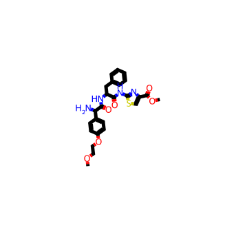 COCCOc1ccc(C(N)C(=O)NC(Cc2ccccc2)C(=O)Nc2nc(C(=O)OC)cs2)cc1